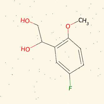 COc1ccc(F)cc1C(O)CO